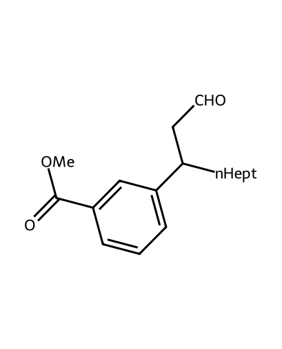 CCCCCCCC(CC=O)c1cccc(C(=O)OC)c1